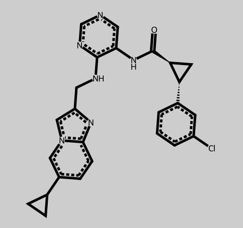 O=C(Nc1cncnc1NCc1cn2cc(C3CC3)ccc2n1)[C@H]1C[C@@H]1c1cccc(Cl)c1